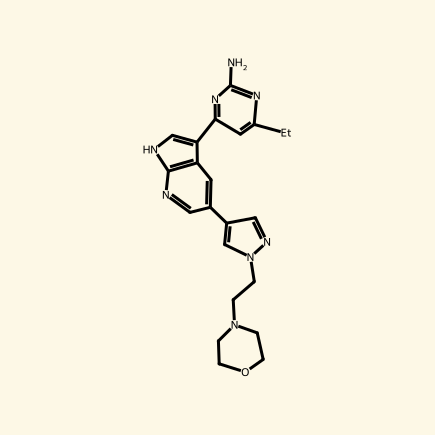 CCc1cc(-c2c[nH]c3ncc(-c4cnn(CCN5CCOCC5)c4)cc23)nc(N)n1